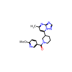 COc1ccc(C(=O)N2CCCC(c3cc(C)nc4ncnn34)C2)cn1